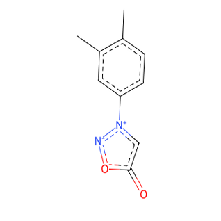 Cc1ccc(-[n+]2cc(=O)o[n-]2)cc1C